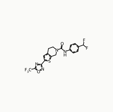 O=C(Nc1ccc(C(F)F)cc1)N1CCc2cc(-c3noc(C(F)(F)F)n3)sc2C1